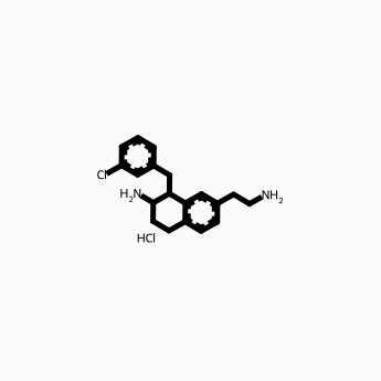 Cl.NCCc1ccc2c(c1)C(Cc1cccc(Cl)c1)C(N)CC2